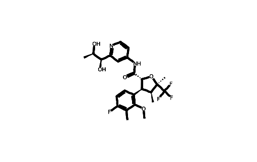 COc1c([C@H]2[C@H](C(=O)Nc3ccnc([C@@H](O)[C@@H](C)O)c3)O[C@@](C)(C(F)(F)F)[C@H]2C)ccc(F)c1C